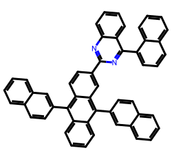 c1ccc2cc(-c3c4ccccc4c(-c4ccc5ccccc5c4)c4cc(-c5nc(-c6cccc7ccccc67)c6ccccc6n5)ccc34)ccc2c1